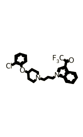 O=C(c1cn(CCCN2CCC(Oc3ccccc3Cl)CC2)c2ccccc12)C(F)(F)F